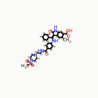 Cc1cc2c(cc1C(=O)O)NC(=O)C2=C(Nc1ccc(C(=O)NCCN2CCN(S(C)(=O)=O)CC2)cc1)c1ccccc1